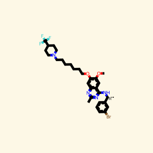 COc1cc2c(N[C@H](C)c3cccc(Br)c3)nc(C)nc2cc1OCCCCCCCN1CCC(C(F)(F)F)CC1